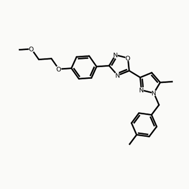 COCCOc1ccc(-c2noc(-c3cc(C)n(Cc4ccc(C)cc4)n3)n2)cc1